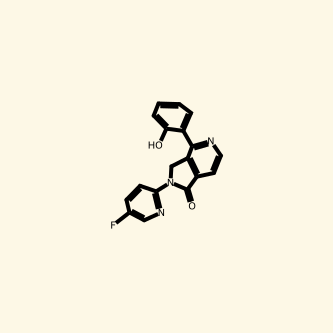 O=C1c2ccnc(-c3ccccc3O)c2CN1c1ccc(F)cn1